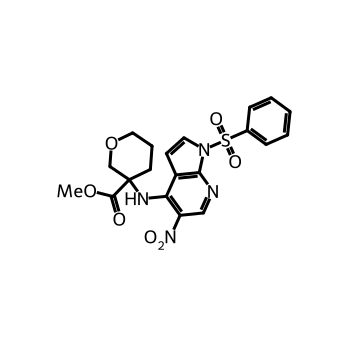 COC(=O)C1(Nc2c([N+](=O)[O-])cnc3c2ccn3S(=O)(=O)c2ccccc2)CCCOC1